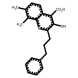 Cc1ccc2c(C(=O)O)c(O)c(CCCc3ccccc3)nc2c1C